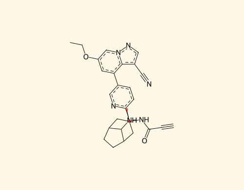 C#CC(=O)NC1(C)CC2CCC(C1)C2Nc1ccc(-c2cc(OCC)cn3ncc(C#N)c23)cn1